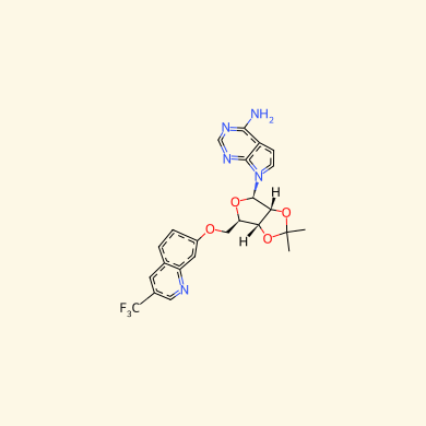 CC1(C)O[C@@H]2[C@H](O1)[C@@H](COc1ccc3cc(C(F)(F)F)cnc3c1)O[C@H]2n1ccc2c(N)ncnc21